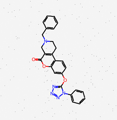 O=c1oc2cc(Oc3nnnn3-c3ccccc3)ccc2c2c1CN(Cc1ccccc1)CC2